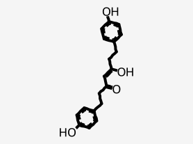 O=C(C=C(O)CCc1ccc(O)cc1)CCc1ccc(O)cc1